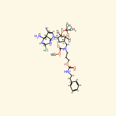 CC(C)(C)OC(=O)N(CCCOC(=O)NCCc1ccccc1)C[C@H]1C[C@@H](n2cc(I)c3c(N)nc(Cl)nc32)[C@@H]2OC(C)(C)O[C@H]12